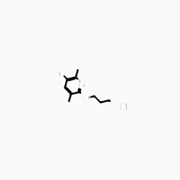 Cc1cc(Br)c(C)nc1OCCCO